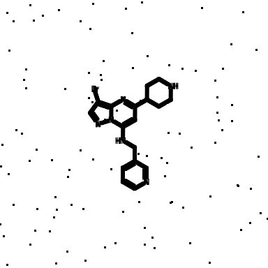 Brc1cnn2c(NCc3cccnc3)cc(C3CCNCC3)nc12